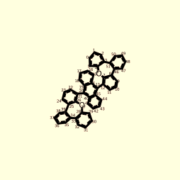 c1ccc2c(c1)Oc1c(cccc1-c1c3ccccc3c(-c3cccc4c3Oc3ccccc3-c3ccccc3-4)c3ccccc13)-c1ccccc1-2